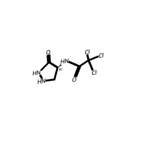 O=C1NNC[C@H]1NC(=O)C(Cl)(Cl)Cl